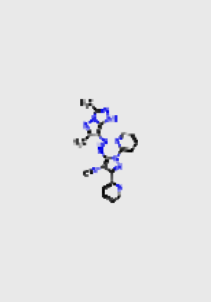 [C-]#[N+]c1c(-c2ccccn2)nn(-c2ccccn2)c1/N=N/c1c(C)nn2c(C)n[nH]c12